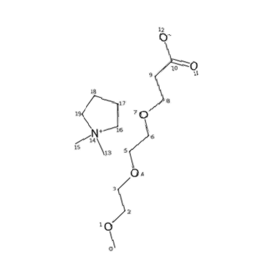 COCCOCCOCCC(=O)[O-].C[N+]1(C)CCCC1